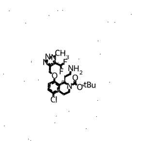 Cn1nnc(COc2ccc(Cl)c3c2[C@@H](CCN)N(C(=O)OC(C)(C)C)CC3)c1C(F)F